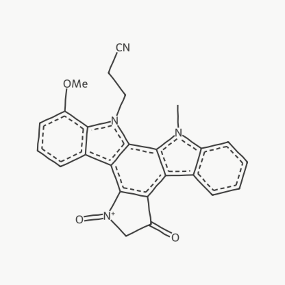 COc1cccc2c3c4c(c5c6ccccc6n(C)c5c3n(CCC#N)c12)C(=O)C[N+]4=O